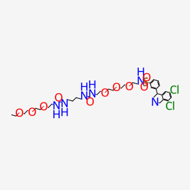 CCOCCOCCOCCNC(=O)NCCCCNC(=O)NCCOCCOCCOCCNS(=O)(=O)c1cccc(C2CN(C)Cc3c(Cl)cc(Cl)cc32)c1